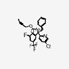 CC#CCOC(=O)N[C@@](Cc1ccccc1)(c1cc(F)cc(C(F)(F)F)c1)c1ccc(Cl)cn1